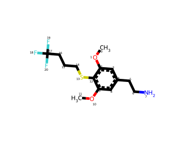 COc1cc(CCN)cc(OC)c1SCCCC(F)(F)F